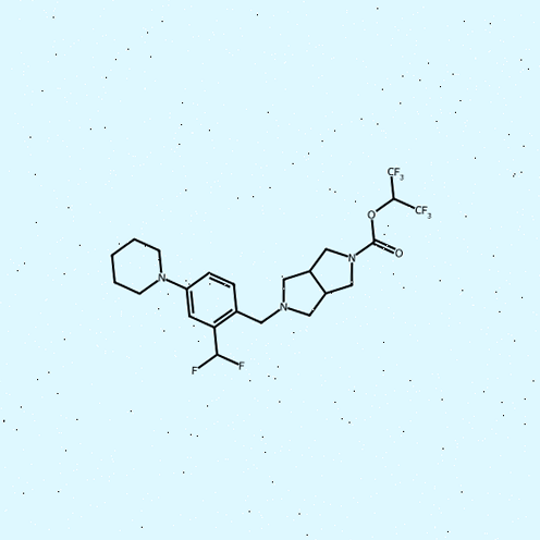 O=C(OC(C(F)(F)F)C(F)(F)F)N1CC2CN(Cc3ccc(N4CCCCC4)cc3C(F)F)CC2C1